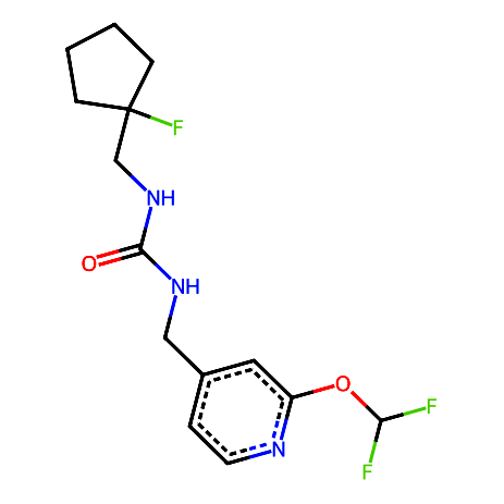 O=C(NCc1ccnc(OC(F)F)c1)NCC1(F)CCCC1